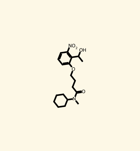 CC(O)c1c(OCCCC(=O)N(C)C2CCCCC2)cccc1[N+](=O)[O-]